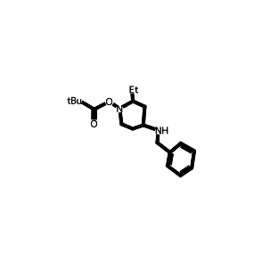 CCC1CC(NCc2ccccc2)CCN1OC(=O)C(C)(C)C